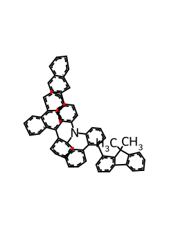 CC1(C)c2ccccc2-c2cccc(-c3cccc(N(c4ccc(-c5ccc6ccccc6c5)cc4)c4ccccc4-c4cc5ccccc5c5ccccc45)c3-c3ccccc3)c21